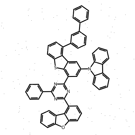 c1ccc(-c2cccc(-c3cccc4sc5c(-c6nc(-c7ccccc7)nc(-c7cccc8oc9ccccc9c78)n6)cc(-n6c7ccccc7c7ccccc76)cc5c34)c2)cc1